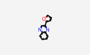 c1coc(-c2cnc3ccccc3n2)c1